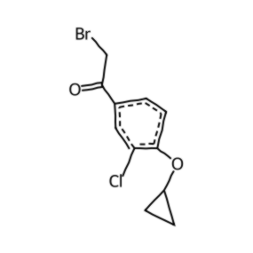 O=C(CBr)c1ccc(OC2CC2)c(Cl)c1